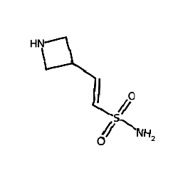 NS(=O)(=O)C=CC1CNC1